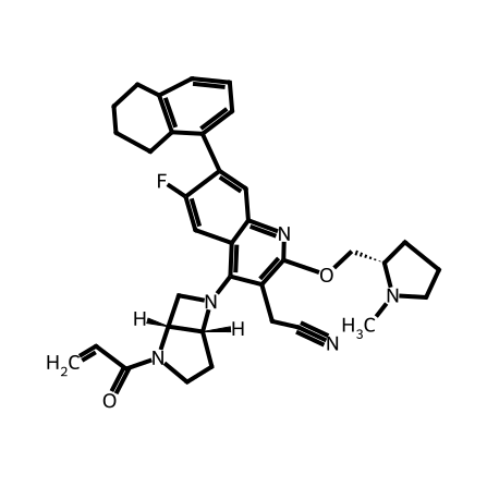 C=CC(=O)N1CC[C@@H]2[C@H]1CN2c1c(CC#N)c(OC[C@@H]2CCCN2C)nc2cc(-c3cccc4c3CCCC4)c(F)cc12